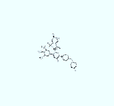 CC1CN(c2cc(F)c(N3CCN(Cc4ccc(F)cc4)CC3)cc2NC(=O)c2c[nH]c(=O)cc2C(F)(F)F)CC(C)N1C